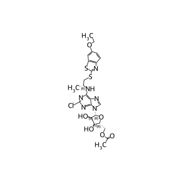 CCOc1ccc2nc(SC[C@@H](C)Nc3nc(Cl)nc4c3ncn4[C@@H]3O[C@H](COC(C)=O)[C@@H](O)[C@H]3O)sc2c1